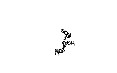 COc1ccc2nccc(CCC[C@@H]3CCN(CCSc4ccc(C(F)(F)F)cc4)C[C@@H]3CO)c2c1